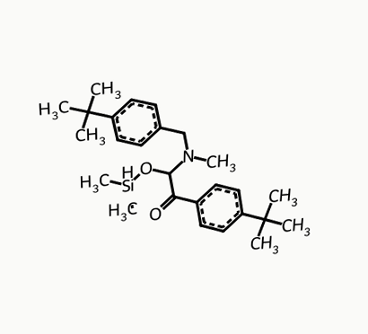 CN(Cc1ccc(C(C)(C)C)cc1)C(O[SiH](C)C)C(=O)c1ccc(C(C)(C)C)cc1